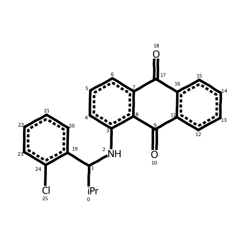 CC(C)C(Nc1cccc2c1C(=O)c1ccccc1C2=O)c1ccccc1Cl